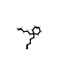 C=CCCCC1(CCCC=C)CC=CCC1